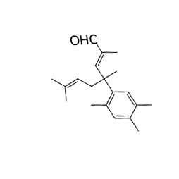 CC(C)=CCC(C)(/C=C(\C)C=O)c1cc(C)c(C)cc1C